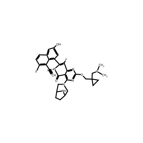 C#Cc1c(F)ccc2cc(O)cc(-c3c(F)c4nc(OCC5(CN(C)C)CC5)nc(N5CC6CCC(C5)N6)c4c(=O)n3C)c12